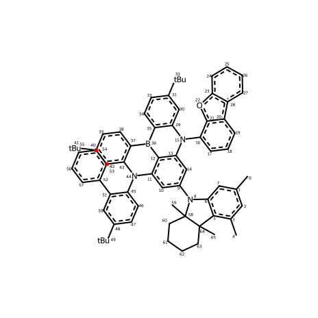 Cc1cc(C)c2c(c1)N(c1cc3c4c(c1)N(c1cccc5c1oc1ccccc15)c1cc(C(C)(C)C)ccc1B4c1ccc(C(C)(C)C)cc1N3c1ccc(C(C)(C)C)cc1-c1ccccc1)C1(C)CCCCC21C